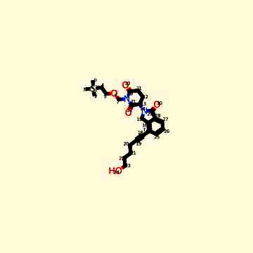 C[Si](C)(C)CCOCN1C(=O)CCC(N2Cc3c(C#CCCCCO)cccc3C2=O)C1=O